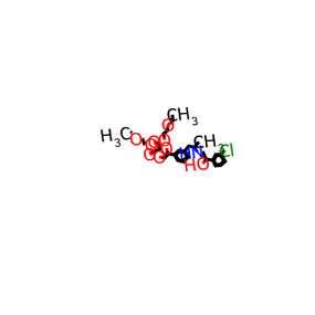 CCOCCOC(=O)C1(C(=O)OCCOCC)OC=C(c2cccc(CC(C)NCC(O)c3cccc(Cl)c3)c2)O1